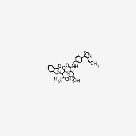 C=Cc1ncsc1-c1ccc(CNC(=O)[C@@H]2C[C@@H](O)CN2C(=O)C(C(C)C)N2Cc3ccccc3C2=O)cc1